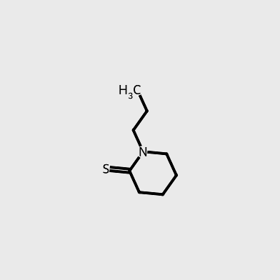 CCCN1CCCCC1=S